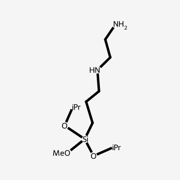 CO[Si](CCCNCCN)(OC(C)C)OC(C)C